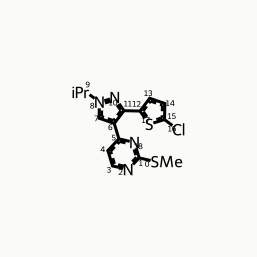 CSc1nccc(-c2cn(C(C)C)nc2-c2ccc(Cl)s2)n1